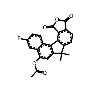 CC(=O)Oc1cc2c(c3ccc(F)cc13)-c1c(ccc3c1C(=O)OC3=O)C2(C)C